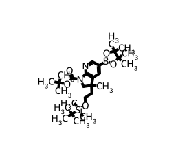 CC(C)(C)OC(=O)N1CC(C)(CCO[Si](C)(C)C(C)(C)C)c2cc(B3OC(C)(C)C(C)(C)O3)cnc21